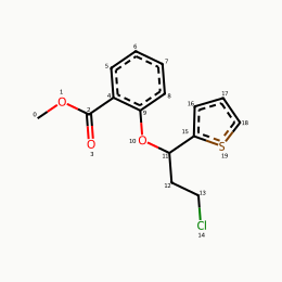 COC(=O)c1ccccc1OC(CCCl)c1cccs1